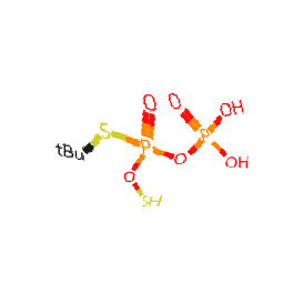 CC(C)(C)SP(=O)(OS)OP(=O)(O)O